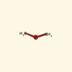 CCCCCCCCCCCCCCCCOC(=O)C1(C(=O)OCCCCCCCCCCCCCCCC)CCCCC1